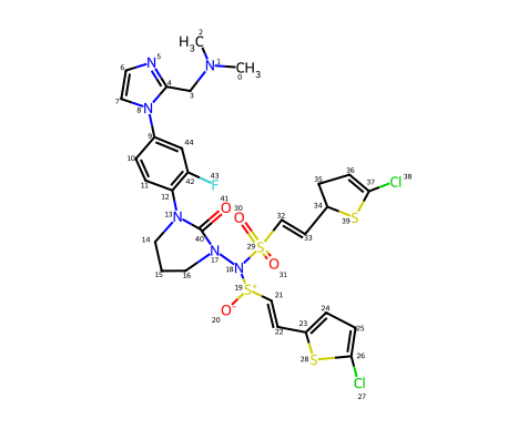 CN(C)Cc1nccn1-c1ccc(N2CCCN(N([S+]([O-])/C=C/c3ccc(Cl)s3)S(=O)(=O)/C=C/C3CC=C(Cl)S3)C2=O)c(F)c1